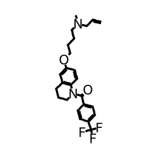 C=CCN(C)CCCCOc1ccc2c(c1)CCCN2C(=O)c1ccc(C(F)(F)F)cc1